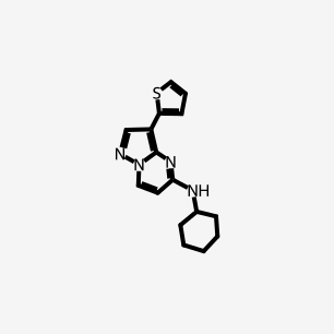 c1csc(-c2cnn3ccc(NC4CCCCC4)nc23)c1